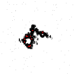 C=C1C[C@@H]2CC[C@@]34CC5OC6C(O[C@@H](CC[C@@H](C)CC(=O)C[C@@H]7[C@@H](OC)[C@@H](C[C@H](O)CNC(=O)CNC(=O)[C@H](Cc8ccccc8)NC(=O)CNC(=O)CNC(=O)CCN8CCOCCN(C(=O)CCC)CCOCC8)O[C@H]7C[C@H]7O[C@@H](CC[C@@H]1O2)C[C@@H](C)C7=C)[C@H](O)[C@@H]6O3)[C@H]5O4